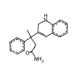 CC(CC(N)=O)(C1=Cc2ccccc2NC1)c1ccccc1